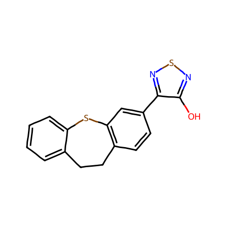 Oc1nsnc1-c1ccc2c(c1)Sc1ccccc1CC2